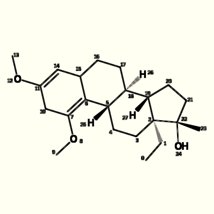 CC[C@]12CC[C@@H]3C4=C(OC)CC(OC)=CC4CC[C@H]3[C@@H]1CC[C@]2(C)O